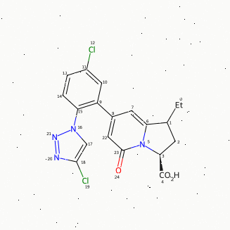 CCC1C[C@@H](C(=O)O)n2c1cc(-c1cc(Cl)ccc1-n1cc(Cl)nn1)cc2=O